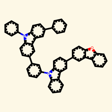 c1ccc(-c2ccc3c(c2)c2cc(-c4cccc(-n5c6ccccc6c6cc(-c7ccc8oc9ccccc9c8c7)ccc65)c4)ccc2n3-c2ccccc2)cc1